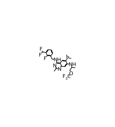 Cc1nc(NCc2cccc(C(F)F)c2F)c2cc(P(C)C)c(NC(C)COC(F)(F)F)cc2n1